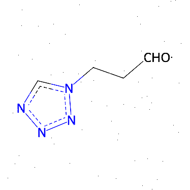 O=[C]CCn1cnnn1